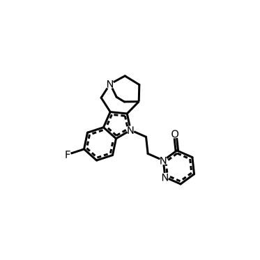 O=c1cccnn1CCn1c2c(c3cc(F)ccc31)CN1CCC2CC1